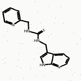 S=C(NCc1ccccn1)NCc1c[nH]c2ncccc12